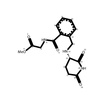 COC(=O)CNC(=O)c1ccccc1CN[C@H]1CCC(=O)NC1=O